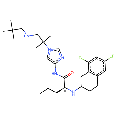 CCC[C@H](NC1CCc2cc(F)cc(F)c2C1)C(=O)Nc1cn(C(C)(C)CNCC(C)(C)C)cn1